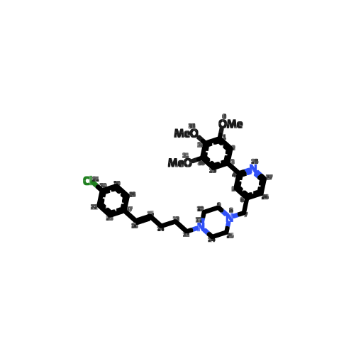 COc1cc(-c2cc(CN3CCN(CCC/C=C/c4ccc(Cl)cc4)CC3)ccn2)cc(OC)c1OC